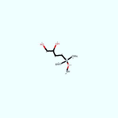 CO[Si](CCC(O)CO)(OC)OC(C)(C)C